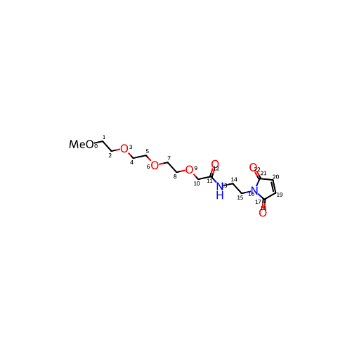 COCCOCCOCCOCC(=O)NCCN1C(=O)C=CC1=O